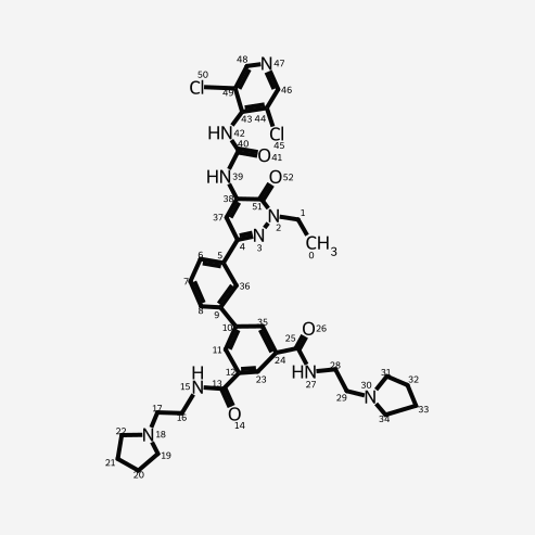 CCn1nc(-c2cccc(-c3cc(C(=O)NCCN4CCCC4)cc(C(=O)NCCN4CCCC4)c3)c2)cc(NC(=O)Nc2c(Cl)cncc2Cl)c1=O